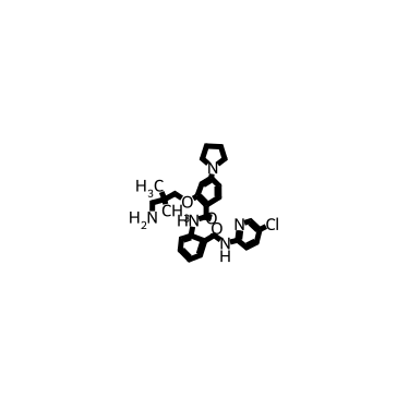 CC(C)(CN)COc1cc(N2CCCC2)ccc1C(=O)Nc1ccccc1C(=O)Nc1ccc(Cl)cn1